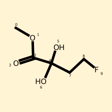 COC(=O)C(O)(O)CCF